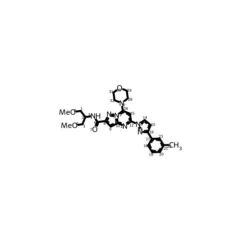 COCC(COC)NC(=O)c1cc2nc(-n3ccc(-c4cccc(C)c4)n3)cc(N3CCOCC3)n2n1